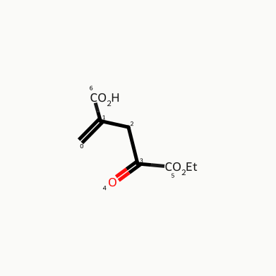 C=C(CC(=O)C(=O)OCC)C(=O)O